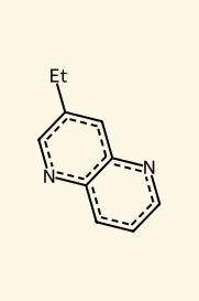 CCc1cnc2cccnc2c1